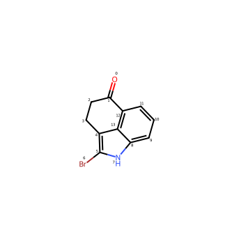 O=C1CCc2c(Br)[nH]c3cccc1c23